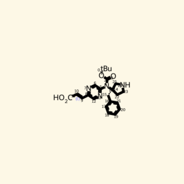 CC(C)(C)OC(=O)N(c1cnc(/C=C/C(=O)O)cn1)[C@]1(Cc2ccccc2)CCNC1